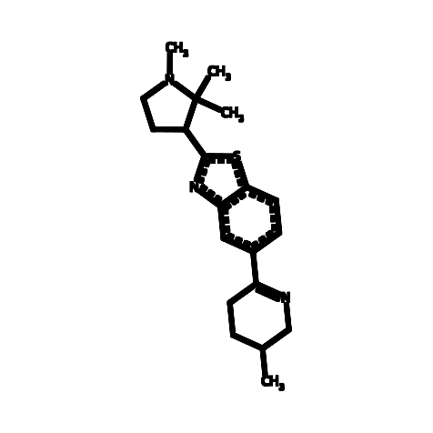 CC1CCC(c2ccc3sc(C4CCN(C)C4(C)C)nc3c2)=NC1